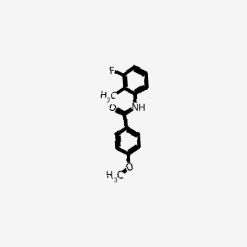 COc1ccc(C(=O)Nc2cccc(F)c2C)cc1